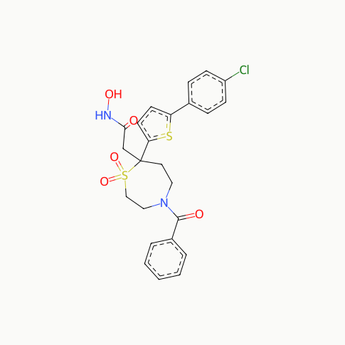 O=C(CC1(c2ccc(-c3ccc(Cl)cc3)s2)CCN(C(=O)c2ccccc2)CCS1(=O)=O)NO